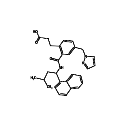 CC(C)CC(NC(=O)c1cc(Cn2cccn2)ccc1CCC(=O)O)c1cccc2ccccc12